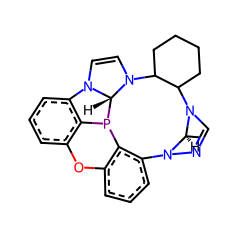 C[C@H]1N2N=CN1C1CCCCC1N1C=CN3c4cccc5c4P(c4c(cccc42)O5)[C@H]31